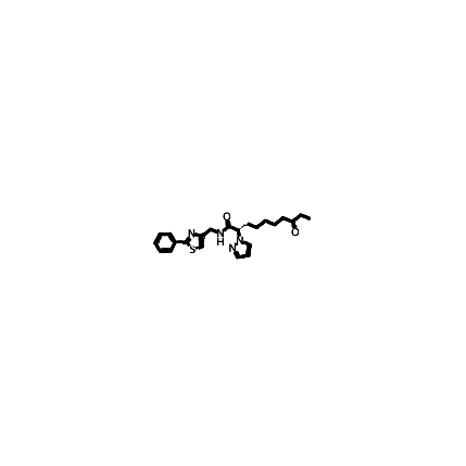 CCC(=O)CCCCC[C@@H](C(=O)NCc1csc(-c2ccccc2)n1)n1cccn1